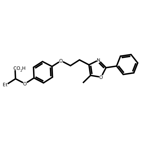 CCC(Oc1ccc(OCCc2nc(-c3ccccc3)oc2C)cc1)C(=O)O